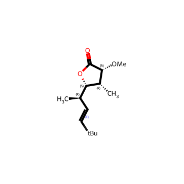 CO[C@H]1C(=O)O[C@@H]([C@H](C)/C=C/C(C)(C)C)[C@H]1C